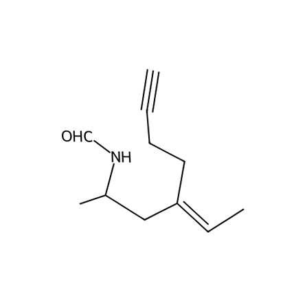 C#CCC/C(=C\C)CC(C)NC=O